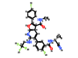 CNC(=O)c1c(-c2ccc(F)cc2)oc2nc(NCC(F)(F)F)c(-c3ccc(F)c(C(=O)N[C@H](C)C#N)c3)cc12